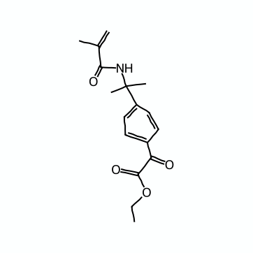 C=C(C)C(=O)NC(C)(C)c1ccc(C(=O)C(=O)OCC)cc1